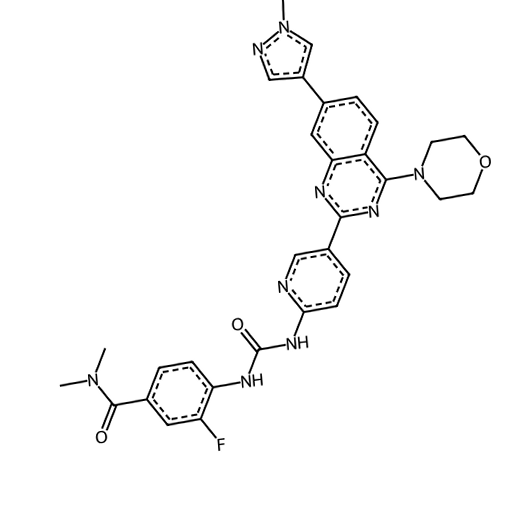 CN(C)C(=O)c1ccc(NC(=O)Nc2ccc(-c3nc(N4CCOCC4)c4ccc(-c5cnn(C)c5)cc4n3)cn2)c(F)c1